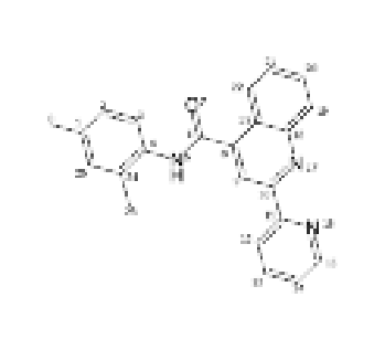 Cc1ccc(NC(=O)c2cc(-c3ccccn3)nc3ccccc23)c(C)c1